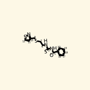 O=C(NC(=S)NCCSCc1ccsn1)c1ccccc1